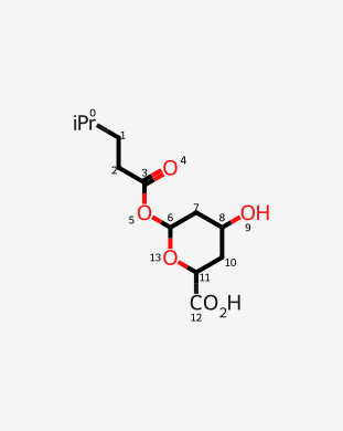 CC(C)CCC(=O)OC1CC(O)CC(C(=O)O)O1